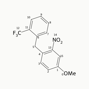 COc1ccc(Cc2ccccc2C(F)(F)F)c([N+](=O)[O-])c1